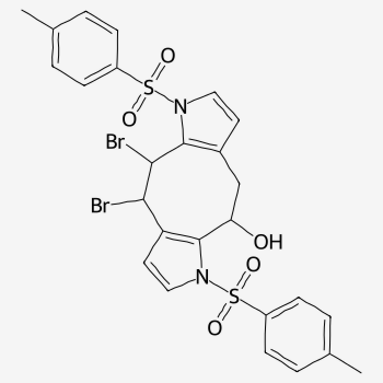 Cc1ccc(S(=O)(=O)n2ccc3c2C(O)Cc2ccn(S(=O)(=O)c4ccc(C)cc4)c2C(Br)C3Br)cc1